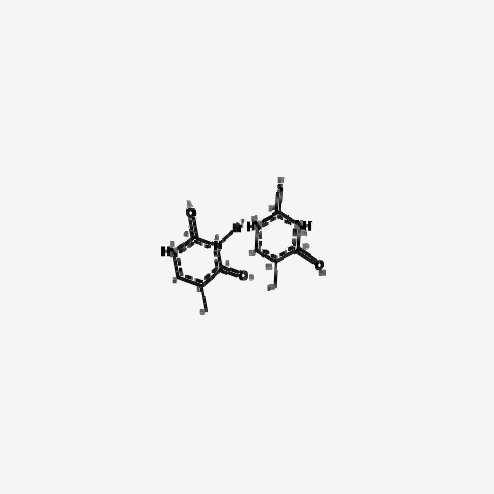 Cc1c[nH]c(=O)n(Br)c1=O.Cc1c[nH]c(=S)[nH]c1=O